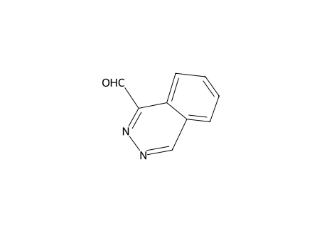 O=Cc1nncc2ccccc12